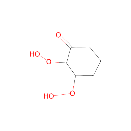 O=C1CCCC(OO)C1OO